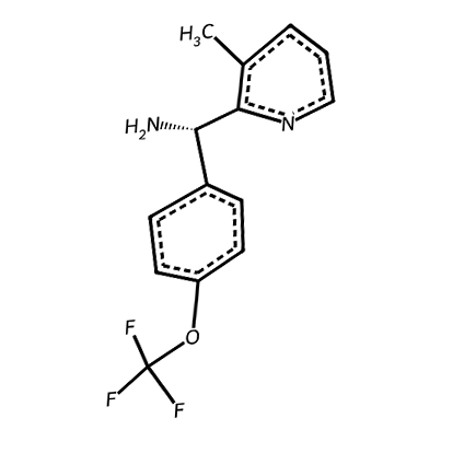 Cc1cccnc1[C@@H](N)c1ccc(OC(F)(F)F)cc1